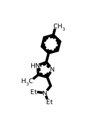 CCN(CC)Cc1nc(-c2ccc(C)cc2)[nH]c1C